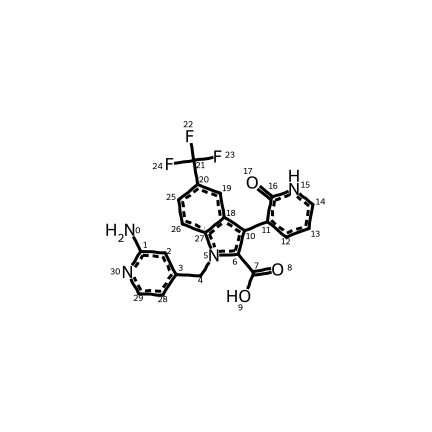 Nc1cc(Cn2c(C(=O)O)c(-c3ccc[nH]c3=O)c3cc(C(F)(F)F)ccc32)ccn1